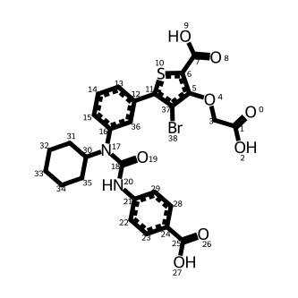 O=C(O)COc1c(C(=O)O)sc(-c2cccc(N(C(=O)Nc3ccc(C(=O)O)cc3)C3CCCCC3)c2)c1Br